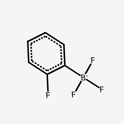 Fc1ccccc1[B-](F)(F)F